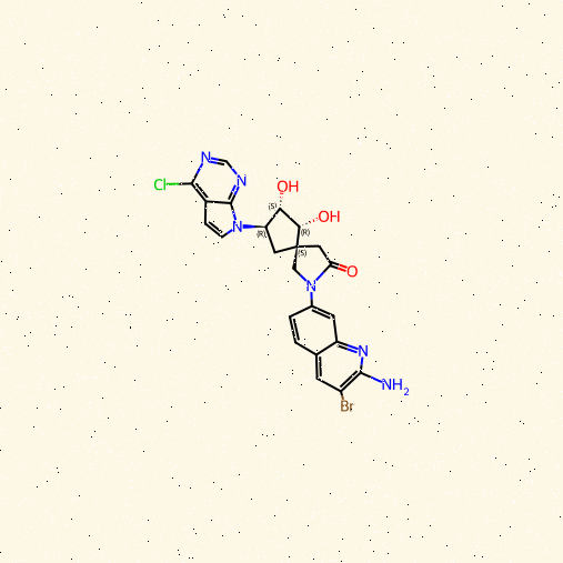 Nc1nc2cc(N3C[C@@]4(CC3=O)C[C@@H](n3ccc5c(Cl)ncnc53)[C@H](O)[C@@H]4O)ccc2cc1Br